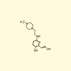 CN1CCN(CCNc2ccc(O)c(/C=N/O)n2)CC1